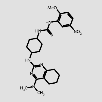 COc1ccc([N+](=O)[O-])cc1NC(=S)NC1CCC(Nc2nc3c(c(N(C)C)n2)CCCC3)CC1